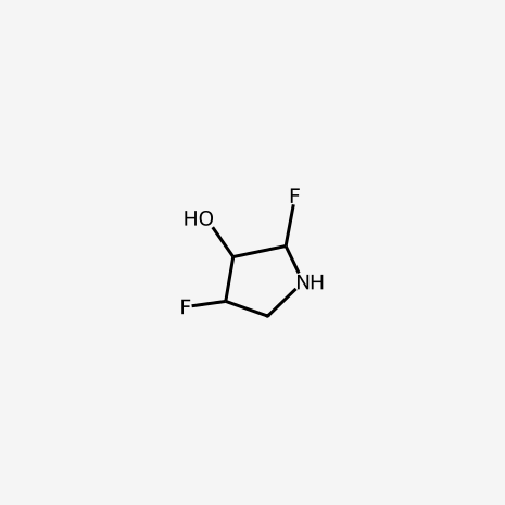 OC1C(F)CNC1F